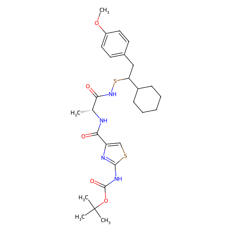 COc1ccc(CC(SNC(=O)[C@@H](C)NC(=O)c2csc(NC(=O)OC(C)(C)C)n2)C2CCCCC2)cc1